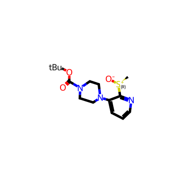 C[S@+]([O-])c1ncccc1N1CCN(C(=O)OC(C)(C)C)CC1